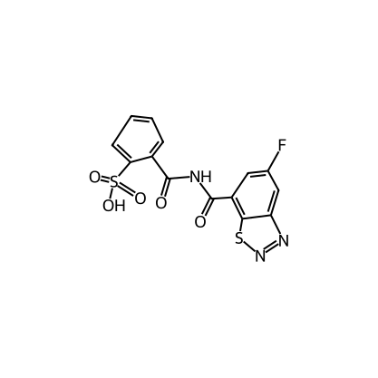 O=C(NC(=O)c1cc(F)cc2nnsc12)c1ccccc1S(=O)(=O)O